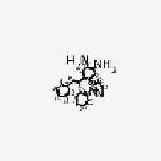 Nc1ccc(C=Cc2ccccc2)cc1N.c1ccc(-n2cccn2)cc1